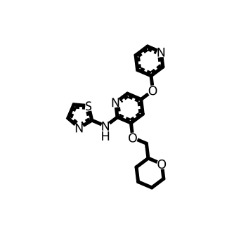 c1cncc(Oc2cnc(Nc3nccs3)c(OCC3CCCCO3)c2)c1